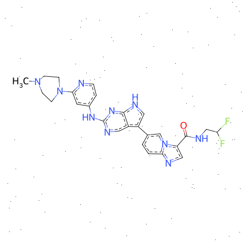 CN1CCN(c2cc(Nc3ncc4c(-c5ccc6ncc(C(=O)NCC(F)F)n6c5)c[nH]c4n3)ccn2)CC1